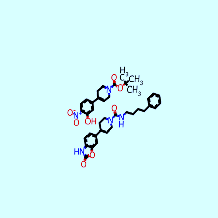 CC(C)(C)OC(=O)N1CC=C(c2ccc([N+](=O)[O-])c(O)c2)CC1.O=C(NCCCCc1ccccc1)N1CCC(c2ccc3[nH]c(=O)oc3c2)CC1